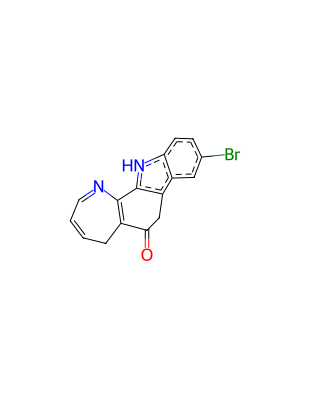 O=C1Cc2c([nH]c3ccc(Br)cc23)C2=C1CC=CC=N2